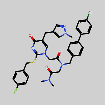 CN(C)C(=O)CN(Cc1ccc(-c2ccc(Cl)cc2)cc1)C(=O)Cn1cc(Cc2cnn(C)c2)c(=O)nc1SCc1ccc(F)cc1